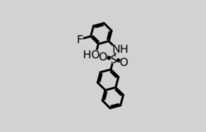 O=S(=O)(Nc1cccc(F)c1O)c1ccc2ccccc2c1